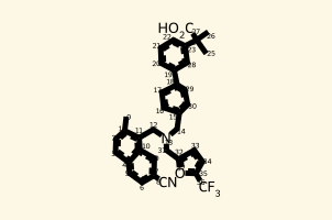 Cc1ccc2ccc(C#N)cc2c1CN(Cc1ccc(-c2cccc(C(C)(C)C(=O)O)c2)cc1)Cc1ccc(C(F)(F)F)o1